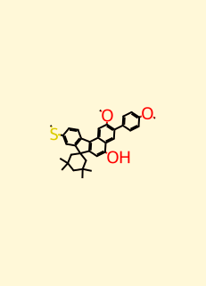 COc1ccc(-c2cc3c(O)cc4c(c3cc2OC)-c2ccc(SC)cc2C42CC(C)(C)CC(C)(C)C2)cc1